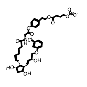 O=C(CCC/C=C\C[C@@H]1[C@@H](/C=C/[C@@H](O)COc2cccc(Cl)c2)[C@H](O)C[C@@H]1O)NCC(=O)Oc1ccc(CCOC(=O)CCCO[N+](=O)[O-])cc1